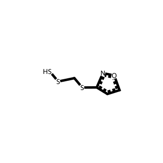 SSCSc1ccon1